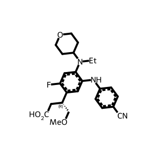 CCN(c1cc(F)c([C@H](COC)CC(=O)O)cc1Nc1ccc(C#N)cc1)C1CCOCC1